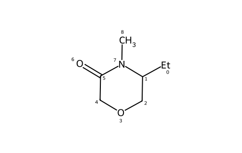 CCC1COCC(=O)N1C